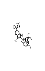 C=CC(F)(F)Cn1c(-c2nc3cc(C(=O)OC(C)C)ccc3n2C2CC2)cc2ccc(CC)nc21